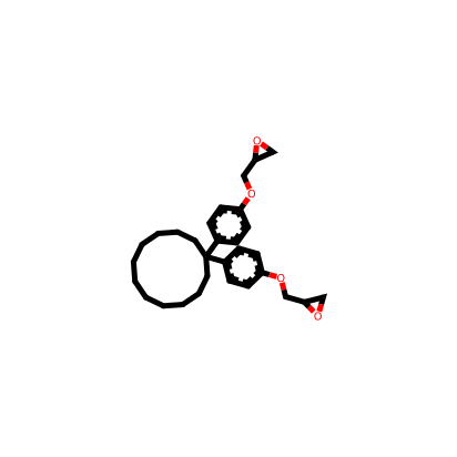 c1cc(C2(c3ccc(OCC4CO4)cc3)CCCCCCCCCCC2)ccc1OCC1CO1